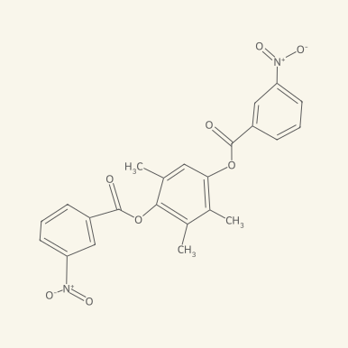 Cc1cc(OC(=O)c2cccc([N+](=O)[O-])c2)c(C)c(C)c1OC(=O)c1cccc([N+](=O)[O-])c1